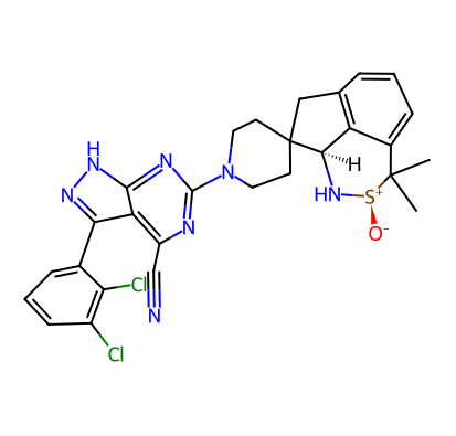 CC1(C)c2cccc3c2[C@@H](N[S@+]1[O-])C1(CCN(c2nc(C#N)c4c(-c5cccc(Cl)c5Cl)n[nH]c4n2)CC1)C3